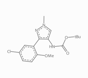 COc1ccc(Cl)cc1-c1nn(C)cc1NC(=O)OC(C)(C)C